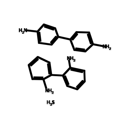 Nc1ccc(-c2ccc(N)cc2)cc1.Nc1ccccc1-c1ccccc1N.S